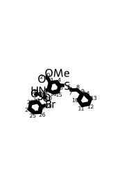 COC(=O)c1cc(SCCc2ccccc2)ccc1NS(=O)(=O)c1ccccc1Br